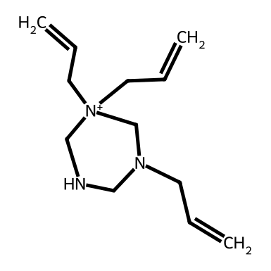 C=CCN1CNC[N+](CC=C)(CC=C)C1